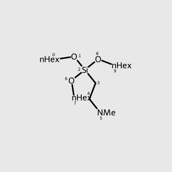 CCCCCCO[Si](CCNC)(OCCCCCC)OCCCCCC